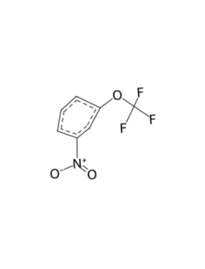 O=[N+]([O-])c1cccc(OC(F)(F)F)c1